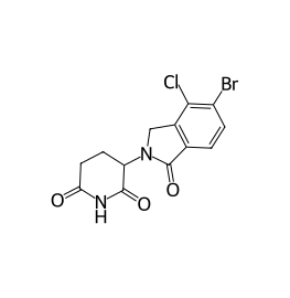 O=C1CCC(N2Cc3c(ccc(Br)c3Cl)C2=O)C(=O)N1